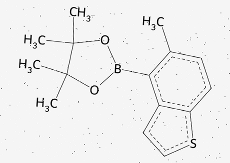 Cc1ccc2sccc2c1B1OC(C)(C)C(C)(C)O1